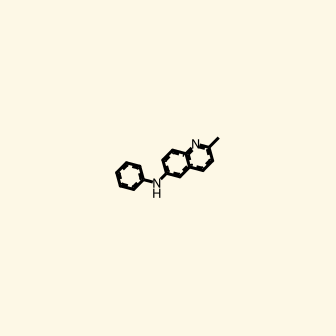 Cc1ccc2cc(Nc3ccccc3)ccc2n1